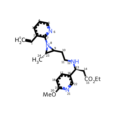 C=Cc1cccnc1N1C(CCN[C@@H](CC(=O)OCC)c2ccc(OC)nc2)[C@@H]1C